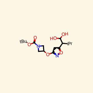 CC(C)C(c1cc(OC2CN(C(=O)OC(C)(C)C)C2)no1)C(O)O